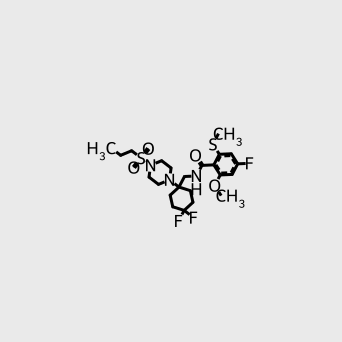 CCCS(=O)(=O)N1CCN(C2(CNC(=O)c3c(OC)cc(F)cc3SC)CCC(F)(F)CC2)CC1